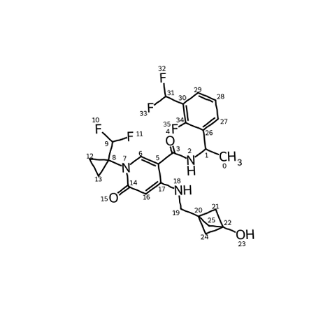 CC(NC(=O)c1cn(C2(C(F)F)CC2)c(=O)cc1NCC12CC(O)(C1)C2)c1cccc(C(F)F)c1F